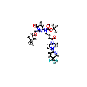 Cc1cc(N(CCCC(=O)N2CCN(c3ccc(C(F)(F)F)cn3)CC2)C(=O)OC(C)(C)C)nn(COCC[Si](C)(C)C)c1=O